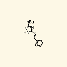 CCCCc1n[nH]c(SCc2ccco2)n1